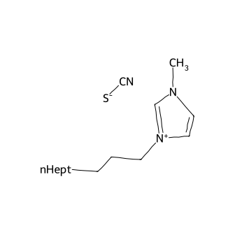 CCCCCCCCCC[n+]1ccn(C)c1.N#C[S-]